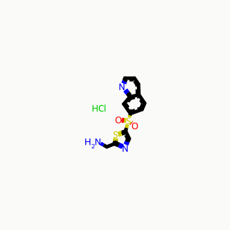 Cl.NCc1ncc(S(=O)(=O)c2ccc3cccnc3c2)s1